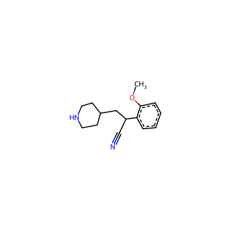 COc1ccccc1C(C#N)CC1CCNCC1